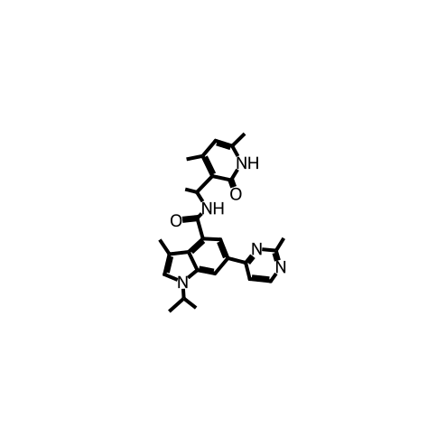 Cc1nccc(-c2cc(C(=O)NC(C)c3c(C)cc(C)[nH]c3=O)c3c(C)cn(C(C)C)c3c2)n1